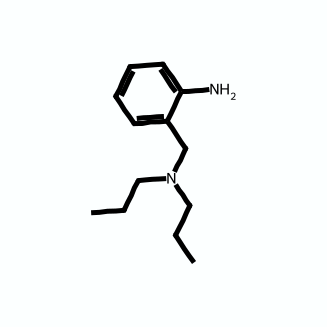 CCCN(CCC)Cc1ccccc1N